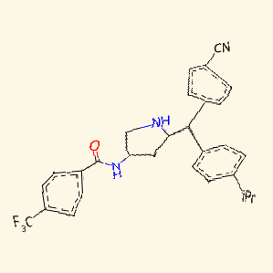 CC(C)c1ccc(C(c2ccc(C#N)cc2)C2CC(NC(=O)c3ccc(C(F)(F)F)cc3)CN2)cc1